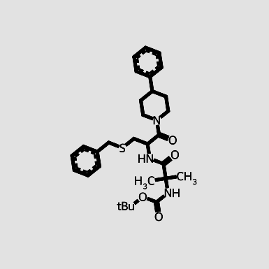 CC(C)(C)OC(=O)NC(C)(C)C(=O)NC(CSCc1ccccc1)C(=O)N1CCC(c2ccccc2)CC1